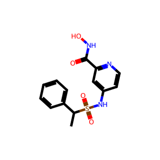 CC(c1ccccc1)S(=O)(=O)Nc1ccnc(C(=O)NO)c1